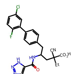 CCC(C#N)(CC(Cc1ccc(-c2cc(Cl)ccc2F)cc1)NC(=O)c1cnn[nH]1)C(=O)O